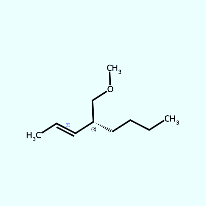 C/C=C/[C@@H](CCCC)COC